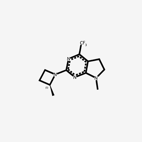 C[C@H]1CCN1c1nc2c(c(C(F)(F)F)n1)CCN2C